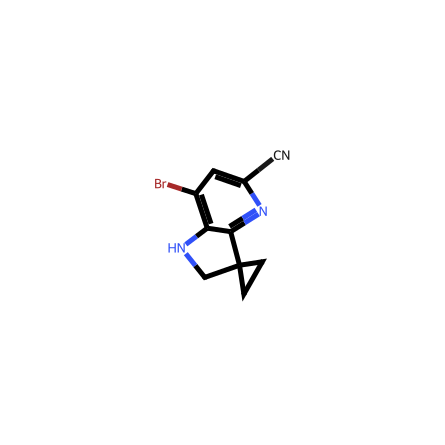 N#Cc1cc(Br)c2c(n1)C1(CC1)CN2